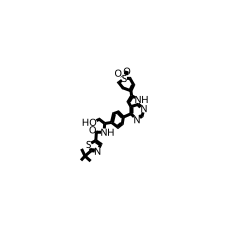 CC(C)(C)c1ncc(C(=O)NC(CO)c2ccc(-c3ncnc4[nH]c(C5=CCS(=O)(=O)CC5)cc34)cc2)s1